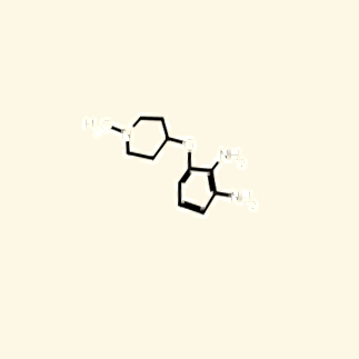 CN1CCC(Oc2cccc(N)c2N)CC1